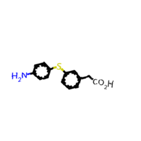 Nc1ccc(Sc2cccc(CC(=O)O)c2)cc1